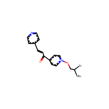 CCCCC(CC)CO[n+]1ccc(C(=O)/C=C/c2ccncc2)cc1